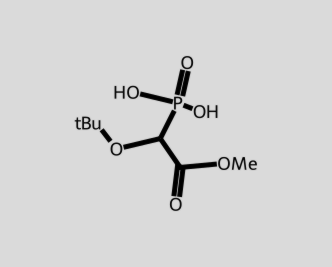 COC(=O)C(OC(C)(C)C)P(=O)(O)O